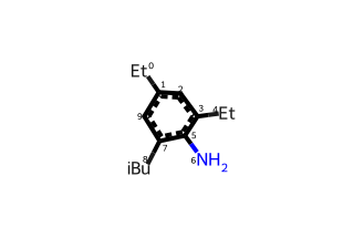 CCc1cc(CC)c(N)c(C(C)CC)c1